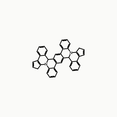 C1=CC2=C(C1)N1c3ccccc3-c3cc4c(cc3C1c1ccccc12)-c1ccccc1N1C2=C(C=CC2)c2ccccc2C41